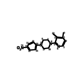 Cc1ccnc(N2CCN(c3ccc([N+](=O)[O-])cc3)CC2)c1C